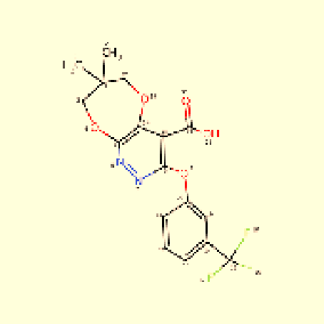 CC1(C)COc2nnc(Oc3cccc(C(F)(F)F)c3)c(C(=O)O)c2OC1